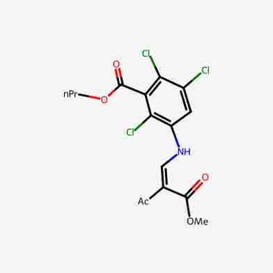 CCCOC(=O)c1c(Cl)c(Cl)cc(NC=C(C(C)=O)C(=O)OC)c1Cl